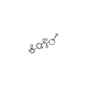 N#CN1CCCC(F)(C(=O)Nc2ccc(-c3ccn[nH]3)cn2)C1